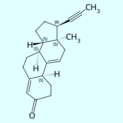 CC#C[C@@H]1CC[C@H]2[C@@H]3CCC4=CC(=O)CC[C@@H]4C3=CC[C@]12C